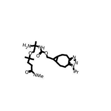 CNC(=O)CCC(C)(C)OCC(C)(N)NC(=O)OCC1C2CCc3nnn(C(C)C)c3CCC21